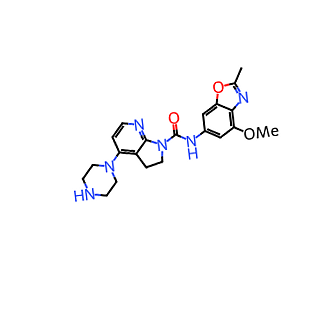 COc1cc(NC(=O)N2CCc3c(N4CCNCC4)ccnc32)cc2oc(C)nc12